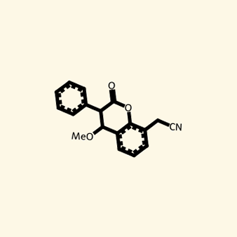 COC1c2cccc(CC#N)c2OC(=O)C1c1ccccc1